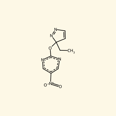 CCC1(Oc2ncc([N+](=O)[O-])cn2)C=CN=N1